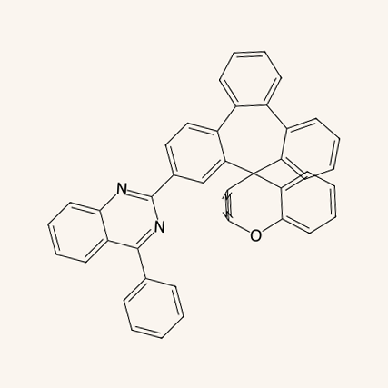 c1ccc(-c2nc(-c3ccc4c(c3)C3(c5ccccc5Oc5ccccc53)c3ccccc3-c3ccccc3-4)nc3ccccc23)cc1